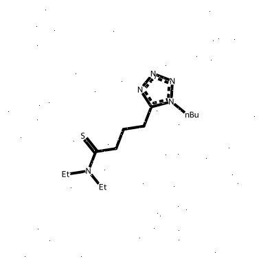 CCCCn1nnnc1CCCC(=S)N(CC)CC